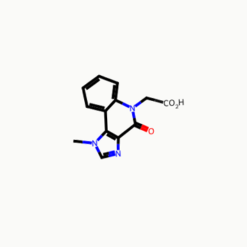 Cn1cnc2c(=O)n(CC(=O)O)c3ccccc3c21